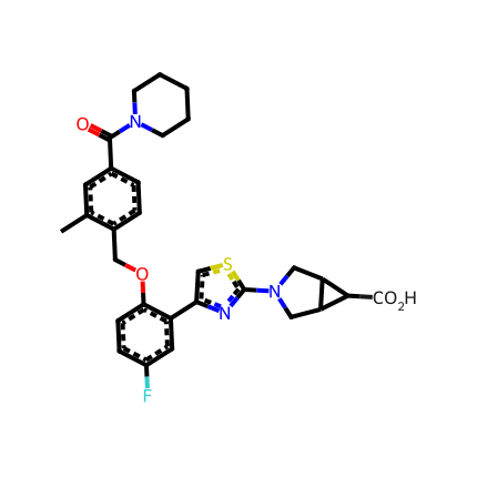 Cc1cc(C(=O)N2CCCCC2)ccc1COc1ccc(F)cc1-c1csc(N2CC3C(C2)C3C(=O)O)n1